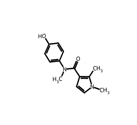 Cc1c(C(=O)N(C)c2ccc(O)cc2)ccn1C